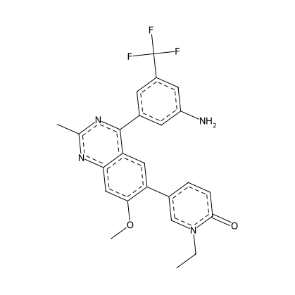 CCn1cc(-c2cc3c(-c4cc(N)cc(C(F)(F)F)c4)nc(C)nc3cc2OC)ccc1=O